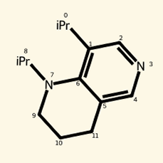 CC(C)c1cncc2c1N(C(C)C)CCC2